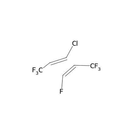 F/C=C\C(F)(F)F.FC(F)(F)/C=C/Cl